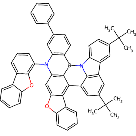 CC(C)(C)c1ccc2c(c1)c1cc(C(C)(C)C)cc3c1n2B1c2ccc(-c4ccccc4)cc2N(c2cccc4c2oc2ccccc24)c2cc4oc5ccccc5c4c-3c21